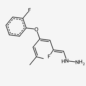 CC(C)=C/C(=C\C(F)=C\NN)Oc1ccccc1F